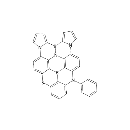 c1ccc(N2c3cccc4c3B3c5c(ccc6c5N5B(c7cccn7-6)c6cccn6-c6ccc2c3c65)S4)cc1